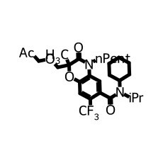 CCCCCN1C(=O)C(C)(COCC(C)=O)Oc2cc(C(F)(F)F)c(C(=O)N(C(C)C)C3CCCCC3)cc21